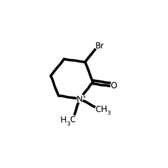 C[N+]1(C)CCCC(Br)C1=O